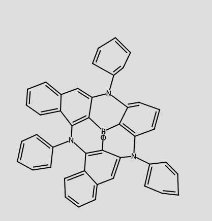 O=P12c3c4cccc3N(c3ccccc3)c3cc5ccccc5c(c31)N(c1ccccc1)c1c2c(cc2ccccc12)N4c1ccccc1